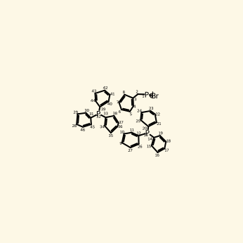 [Br][Pd][CH2]c1ccccc1.c1ccc(P(c2ccccc2)c2ccccc2)cc1.c1ccc(P(c2ccccc2)c2ccccc2)cc1